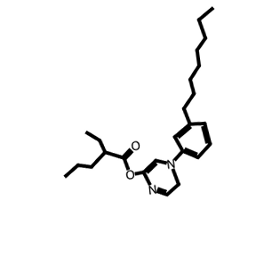 CCCCCCCCc1cccc(N2C=C(OC(=O)C(CC)CCC)N=CC2)c1